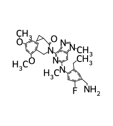 CCc1cc(CN)c(F)cc1N(C)c1cc2c(ncn2C)c(N(Cc2ccc(OC)cc2OC)C(=O)C2CC2)n1